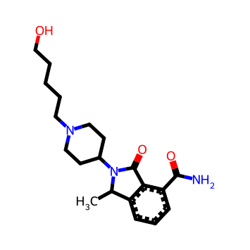 CC1c2cccc(C(N)=O)c2C(=O)N1C1CCN(CCCCCO)CC1